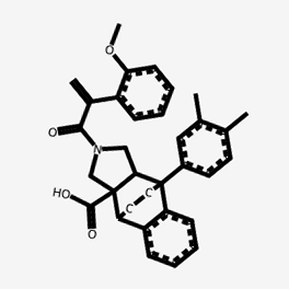 C=C(C(=O)N1CC2C3(c4ccc(C)c(C)c4)CCC(c4ccccc43)C2(C(=O)O)C1)c1ccccc1OC